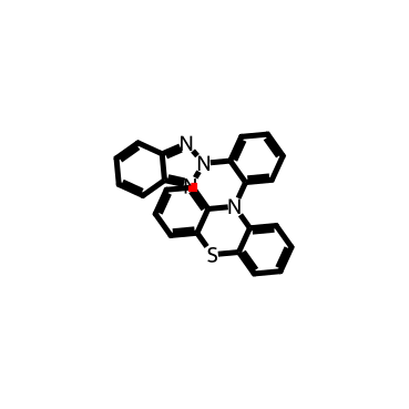 c1ccc2c(c1)Sc1ccccc1N2c1ccccc1-n1nc2ccccc2n1